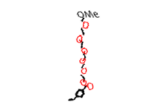 C=Cc1ccc(C(=O)OCCOCCOCCOCCOCCOCCOC)cc1